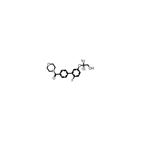 [2H]C([2H])(CO)Oc1ccc(F)c(-c2ccc(C(=O)N3CCOCC3)cc2)c1